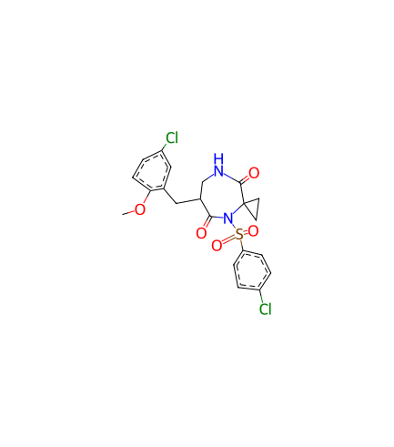 COc1ccc(Cl)cc1CC1CNC(=O)C2(CC2)N(S(=O)(=O)c2ccc(Cl)cc2)C1=O